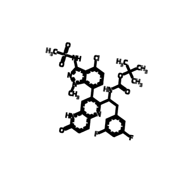 Cn1nc(NS(C)(=O)=O)c2c(Cl)ccc(-c3cc4[nH]c(=O)ccc4nc3C(Cc3cc(F)cc(F)c3)NC(=O)OC(C)(C)C)c21